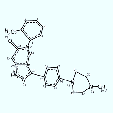 Cc1ccccc1-n1nc2c(-c3ccc(N4CCN(C)CC4)cc3)n[nH]c2cc1=O